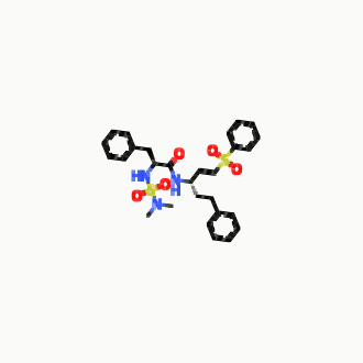 CN(C)S(=O)(=O)N[C@@H](Cc1ccccc1)C(=O)N[C@H](/C=C/S(=O)(=O)c1ccccc1)CCc1ccccc1